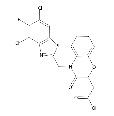 O=C(O)CC1Oc2ccccc2N(Cc2nc3c(Cl)c(F)c(Cl)cc3s2)C1=O